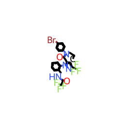 O=C1c2c(c(C(F)(F)F)nn2-c2ccccc2CNC(=O)C(F)(F)F)CCCN1c1ccc(Br)cc1